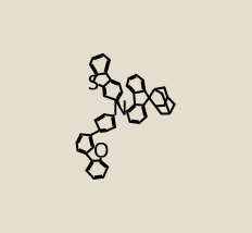 c1ccc2c(c1)-c1c(N(c3ccc(-c4cccc5c4oc4ccccc45)cc3)c3ccc4c(c3)sc3ccccc34)cccc1C21C2CC3CC(C2)CC1C3